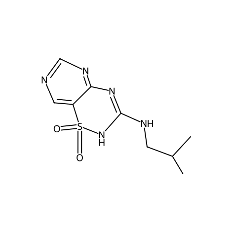 CC(C)CNC1=Nc2ncncc2S(=O)(=O)N1